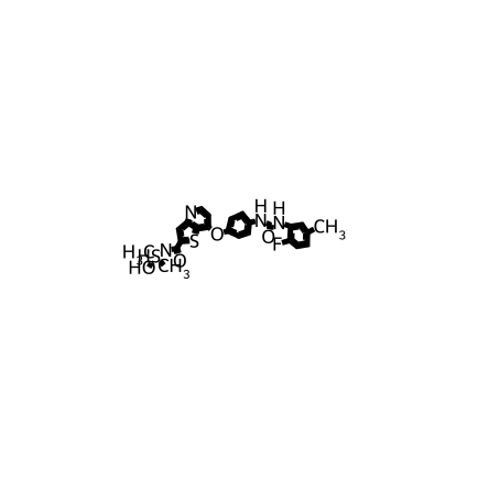 Cc1ccc(F)c(NC(=O)Nc2ccc(Oc3ccnc4cc(C(=O)N=[SH](C)(C)O)sc34)cc2)c1